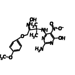 COc1ccc(OCC(=NO)C(C)(C)Nc2nc(N)nc(O)c2[N+](=O)[O-])cc1